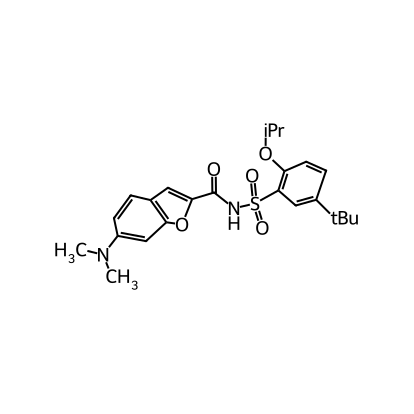 CC(C)Oc1ccc(C(C)(C)C)cc1S(=O)(=O)NC(=O)c1cc2ccc(N(C)C)cc2o1